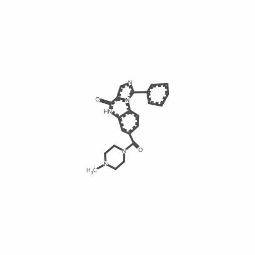 CN1CCN(C(=O)c2ccc3c(c2)[nH]c(=O)c2cnc(-c4ccccc4)n23)CC1